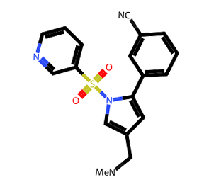 CNCc1cc(-c2cccc(C#N)c2)n(S(=O)(=O)c2cccnc2)c1